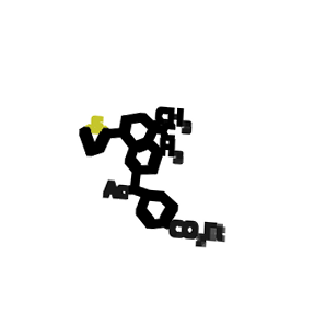 CCOC(=O)c1ccc(C(C(C)=O)c2ccc3c(c2)C(c2cccs2)=CCC3(C)C)cc1